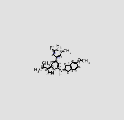 C=N/C=C(\C=C(/C)F)c1cc(N[C@@H]2Cc3ccc(OC)cc3C2)n2ncc(C(C)C)c2n1